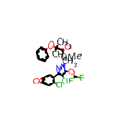 COC(=O)C(C)(C)Oc1ccccc1.Cn1nc(-c2cc3c(cc2Cl)O3)c(Cl)c1OC(F)F